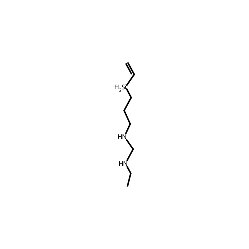 C=C[SiH2]CCCNCNCC